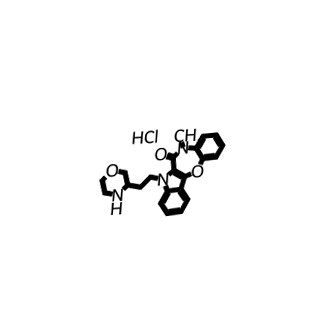 CN1C(=O)c2c(c3ccccc3n2CCC2COCCN2)Oc2ccccc21.Cl